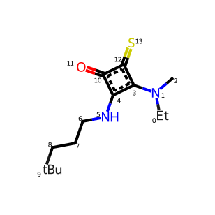 CCN(C)c1c(NCCCC(C)(C)C)c(=O)c1=S